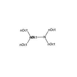 CCCCCCCCN(CCCCCCCC)CCCCCCCC.CCCCCCCCNCCCCCCCC